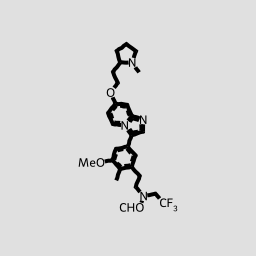 COc1cc(-c2cnc3cc(OCCC4CCCN4C)ccn23)cc(CCN(C=O)CC(F)(F)F)c1C